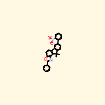 CC1(C)c2ccc(-c3ccccc3[N+](=O)[O-])cc2-c2ccc3oc(-c4ccccc4)nc3c21